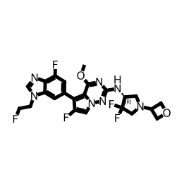 COc1nc(N[C@@H]2CN(C3COC3)CC2(F)F)nn2cc(F)c(-c3cc(F)c4ncn(CCF)c4c3)c12